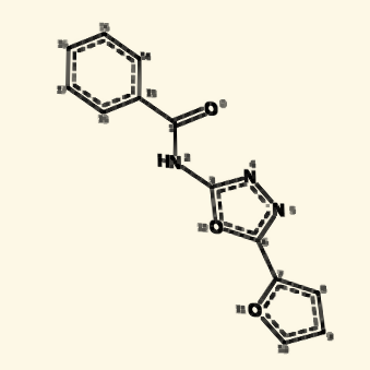 O=C(Nc1nnc(-c2ccco2)o1)c1ccccc1